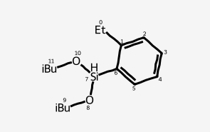 CCc1ccccc1[SiH](OC(C)CC)OC(C)CC